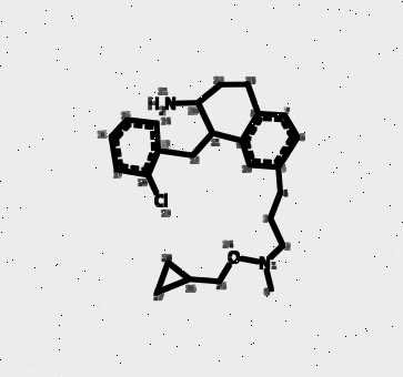 CN(CCCc1ccc2c(c1)C(Cc1ccccc1Cl)C(N)CC2)OCC1CC1